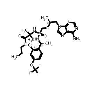 CCCOC(=O)C(C)(C)NP(=O)(CO[C@@H](C)Cn1cnc2c(N)ncnc21)N[C@H](C)c1ccc(OC(F)(F)F)cc1C